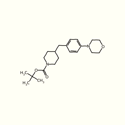 CC(C)(C)OC(=O)N1CCC(Cc2ccc(N3CCOCC3)cc2)CC1